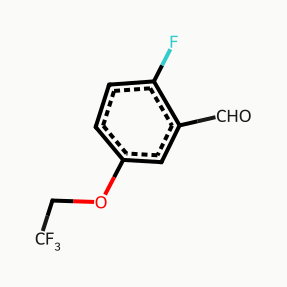 O=Cc1cc(OCC(F)(F)F)ccc1F